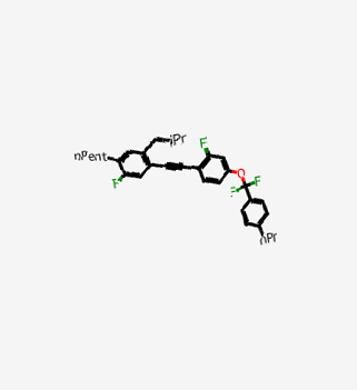 CCCCCc1cc(CC(C)C)c(C#Cc2ccc(OC(F)(F)c3ccc(CCC)cc3)cc2F)cc1F